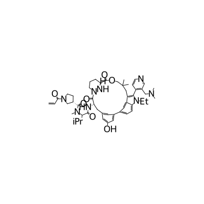 C=CC(=O)N1CC[C@H](C(=O)N(C)C(C(=O)N[C@H]2Cc3cc(O)cc(c3)-c3ccc4c(c3)c(c(-c3ccncc3CN(C)C)n4CC)CC(C)(C)COC(=O)[C@@H]3CCCN(N3)C2=O)C(C)C)C1